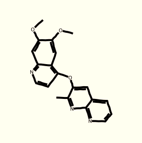 COc1cc2nccc(Oc3cc4cccnc4nc3C)c2cc1OC